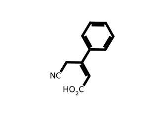 N#CCC(=CC(=O)O)c1ccccc1